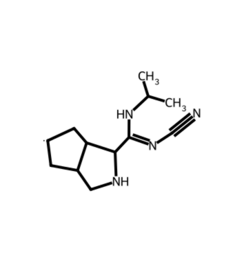 CC(C)N/C(=N\C#N)C1NCC2C[CH]CC21